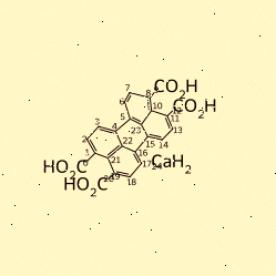 O=C(O)c1ccc2c3ccc(C(=O)O)c4c(C(=O)O)ccc(c5ccc(C(=O)O)c1c25)c43.[CaH2]